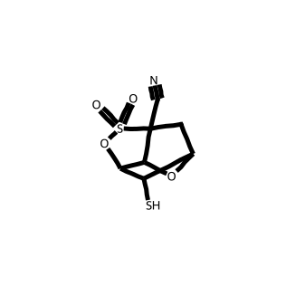 N#CC12CC3OC1C(OS2(=O)=O)C3S